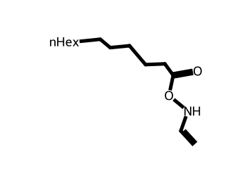 C=CNOC(=O)CCCCCCCCCCC